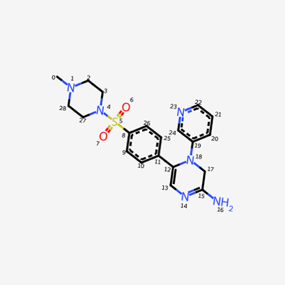 CN1CCN(S(=O)(=O)c2ccc(C3=CN=C(N)CN3c3cccnc3)cc2)CC1